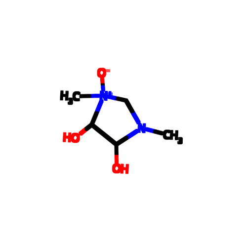 CN1C[N+](C)([O-])C(O)C1O